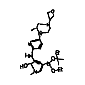 CCOB(OC(C)(C)CC)C1=CN(C)C(O)C(Nc2ccc(N3CCN(C4COC4)C[C@@H]3C)cn2)=C1